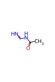 CC(=O)N[C]=N